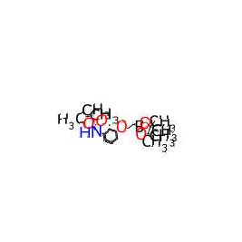 CC(C)(C)OC(=O)Nc1[c]c(OCCB2OC(C)(C)C(C)(C)O2)ccc1